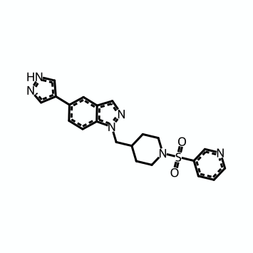 O=S(=O)(c1cccnc1)N1CCC(Cn2ncc3cc(-c4cn[nH]c4)ccc32)CC1